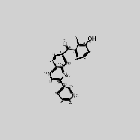 Cc1c(O)cccc1C(=O)c1ccc2ncc(-c3cccnc3)nc2c1